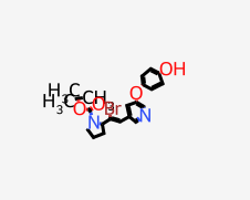 CC(C)(C)OC(=O)N1CCCC1C(Br)=Cc1cncc(Oc2ccc(O)cc2)c1